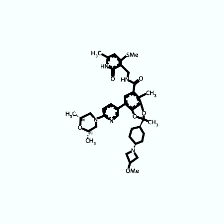 COC1CN([C@H]2CC[C@H](C3(C)Oc4c(-c5ccc(N6C[C@@H](C)O[C@@H](C)C6)nc5)cc(C(=O)NCc5c(SC)cc(C)[nH]c5=O)c(C)c4O3)CC2)C1